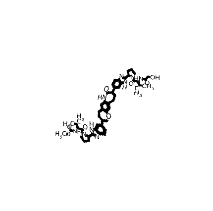 COC(=O)NC(C(=O)N1CCCC1c1nc2ccc(C3CCc4cc5c(cc4OC3)CCC(c3ccc4nc(C6CCCN6C(=O)C(NC(=O)CO)C(C)C)[nH]c4c3)C(=O)N5)cc2[nH]1)C(C)C